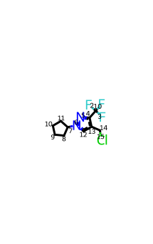 FC(F)(F)c1nn(C2CCCC2)cc1CCl